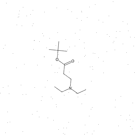 CCN(CC)CCC(=O)OC(C)(C)C